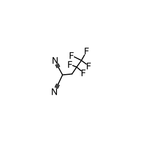 N#CC(C#N)CC(F)(F)C(F)(F)F